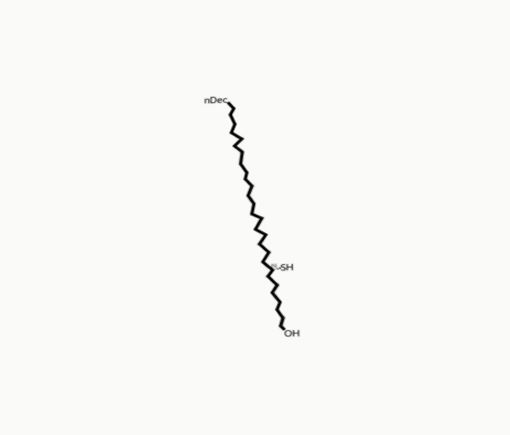 CCCCCCCCCCCCCCCCCCCCCCCCCCCCCC[C@H](S)CCCCCCCO